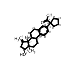 C=C1C[C@H](O)[C@@]2(C)CCC3c4ccc(C5(C(=O)O)CCCC5)cc4CCC3[C@@H]12